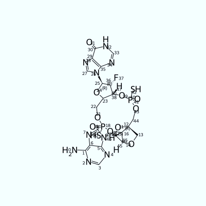 Nc1ncnc2c1ncn2[C@@H]1O[C@@]23CO[C@@H]1[C@@H]2OP(=O)(S)OCC1O[C@@H](n2cnc4c(=O)[nH]cnc42)[C@H](F)[C@@H]1OP(=O)(S)OC3